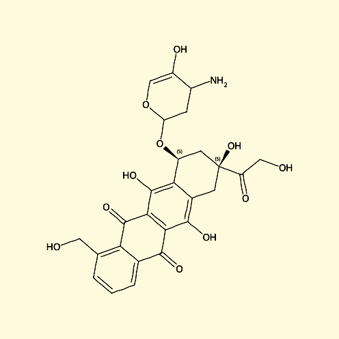 NC1CC(O[C@H]2C[C@](O)(C(=O)CO)Cc3c(O)c4c(c(O)c32)C(=O)c2c(CO)cccc2C4=O)OC=C1O